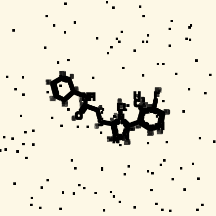 CCn1c(SCC(=O)NC2C=CC=CC2)nnc1-c1cncc(F)c1C